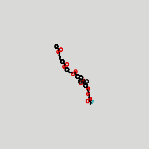 C=C(F)C(=O)OCCOCCOc1ccc(C(=O)Oc2ccc3cc(C(=O)OCCc4ccc(OC(=O)c5ccc(CCCCOC(=O)C6CC7C=CC6C7)cc5)cc4)ccc3c2C=O)cc1